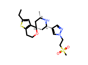 CCc1cc2c(s1)CCO[C@@]21C[C@@H](c2cnn(CCS(C)(=O)=O)c2)N[C@@H](C)C1